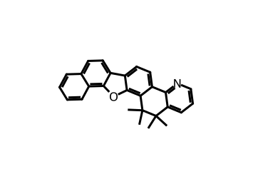 CC1(C)c2cccnc2-c2ccc3c(oc4c5ccccc5ccc34)c2C1(C)C